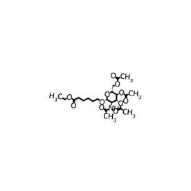 CCOC(=O)CCCCCO[C@@H]1O[C@H](COC(C)=O)[C@@H](OC(C)=O)[C@H](OC(C)=O)[C@H]1NC(C)=O